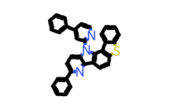 c1ccc(-c2ccnc(-n3c4ccc(-c5ccccc5)nc4c4ccc5sc6ccccc6c5c43)c2)cc1